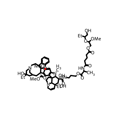 CCC(CO)OC(COC(=O)CCCC(=O)NC(C)C(=O)OCCCNC(=O)[C@]1(O)C2N(C)c3cc(OC)c([C@@]4(C(=O)OC)CC5C[N@](CCc6c4[nH]c4ccccc64)CC(O)(CC)C5)cc3C23CCN2CC=C[C@](CC)(C23)[C@H]1O)OC